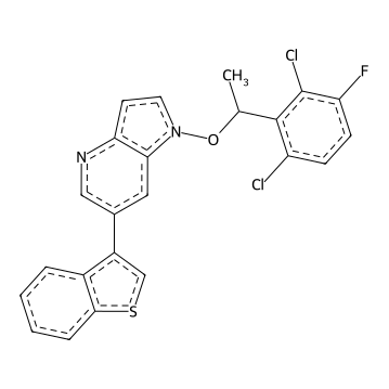 CC(On1ccc2ncc(-c3csc4ccccc34)cc21)c1c(Cl)ccc(F)c1Cl